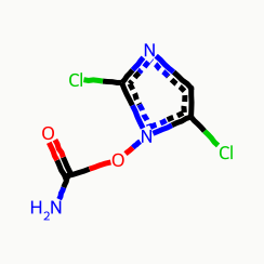 NC(=O)On1c(Cl)cnc1Cl